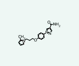 Cc1cccn1CCCOc1ccc(-n2cc(C(N)=O)cn2)cc1